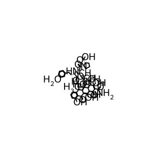 CCOC(=O)[C@H](CCc1ccccc1)N[C@@H](C)C(=O)N1CCC[C@H]1C(=O)O.C[C@H]1c2cccc(O)c2C(=O)C2=C(O)[C@]3(O)C(=O)C(C(N)=O)=C(O)[C@@H](N(C)C)[C@@H]3[C@@H](O)[C@@H]21.O